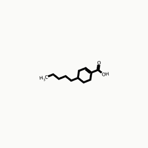 CCCCCC1CC=C(C(=O)O)CC1